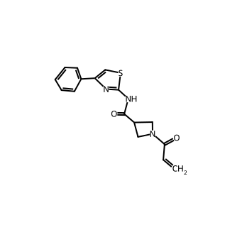 C=CC(=O)N1CC(C(=O)Nc2nc(-c3ccccc3)cs2)C1